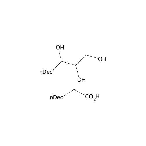 CCCCCCCCCCC(O)C(O)CO.CCCCCCCCCCCC(=O)O